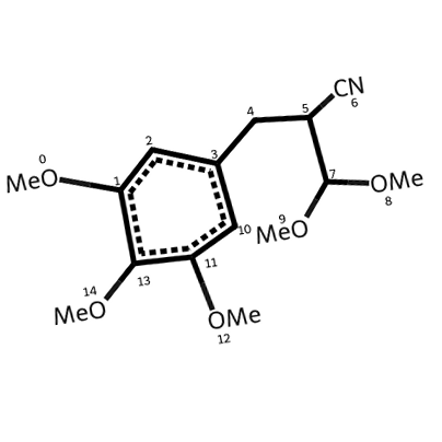 COc1cc(CC(C#N)C(OC)OC)cc(OC)c1OC